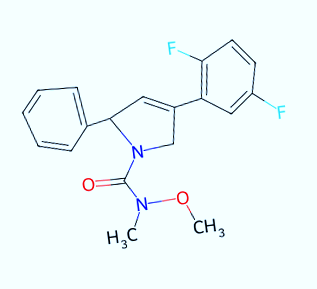 CON(C)C(=O)N1CC(c2cc(F)ccc2F)=CC1c1ccccc1